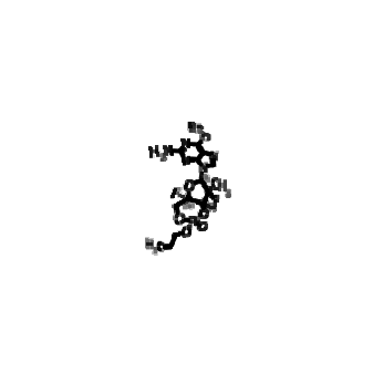 C=CCOP1(=O)OC[C@@]2(F)O[C@@H](n3cnc4c(OCC)nc(N)nc43)[C@](C)(F)[C@@H]2O1